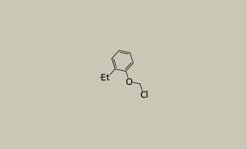 C[CH]c1ccccc1OCCl